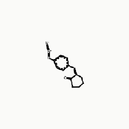 [N-]=[N+]=Nc1ccc(/C=C2/CCCCC2=O)cc1